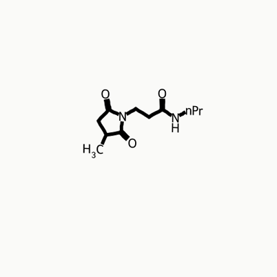 CCCNC(=O)CCN1C(=O)CC(C)C1=O